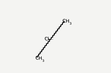 CCCCCCCCCCCCCCCCC[CH]C(Cl)CCCCCCCCCCCCCCCCC